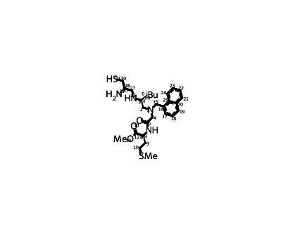 CC[C@H](C)[C@@H](CN(CC(=O)N[C@@H](CCSC)C(=O)OC)Cc1cccc2ccccc12)NC[C@@H](N)CS